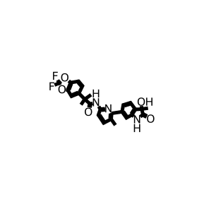 Cc1ccc(NC(=O)C(C)(C)c2ccc3c(c2)OC(F)(F)O3)nc1-c1ccc2c(c1)NC(=O)C2(C)O